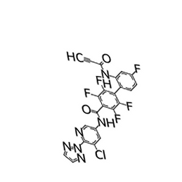 C#CC(=O)Nc1cc(F)ccc1-c1c(F)c(F)c(C(=O)Nc2cnc(-n3nccn3)c(Cl)c2)c(F)c1F